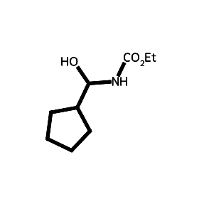 CCOC(=O)NC(O)C1CCCC1